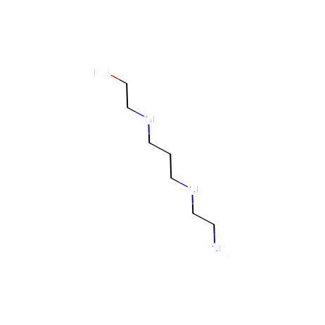 NCCNCCCNCCO